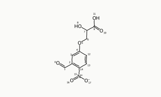 O=Cc1cc(OCC(O)C(=O)O)ccc1[N+](=O)[O-]